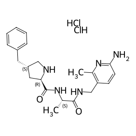 Cc1nc(N)ccc1CNC(=O)[C@H](C)NC(=O)[C@H]1C[C@H](Cc2ccccc2)CN1.Cl.Cl